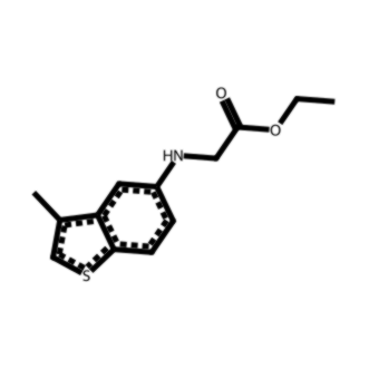 CCOC(=O)CNc1ccc2scc(C)c2c1